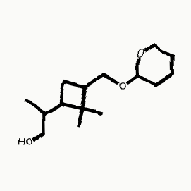 CC(CO)C1CC(COC2CCCCO2)C1(C)C